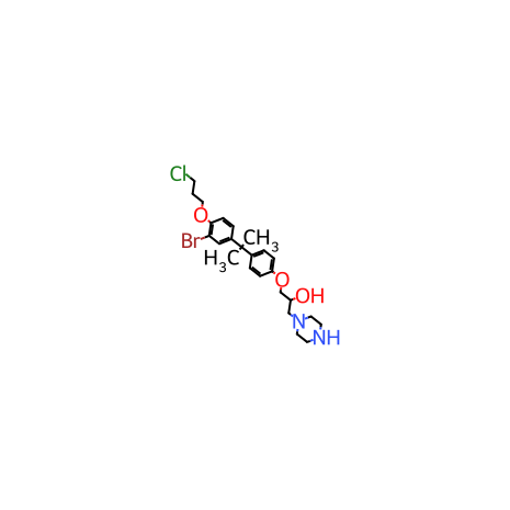 CC(C)(c1ccc(OCC(O)CN2CCNCC2)cc1)c1ccc(OCCCCl)c(Br)c1